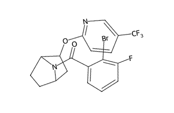 O=C(c1cccc(F)c1Br)N1C2CCC1C(Oc1ccc(C(F)(F)F)cn1)C2